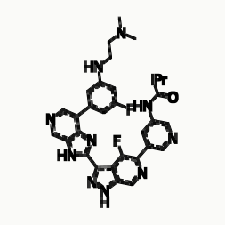 CC(C)C(=O)Nc1cncc(-c2ncc3[nH]nc(-c4nc5c(-c6cc(F)cc(NCCN(C)C)c6)cncc5[nH]4)c3c2F)c1